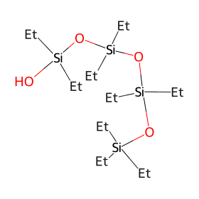 CC[Si](O)(CC)O[Si](CC)(CC)O[Si](CC)(CC)O[Si](CC)(CC)CC